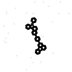 c1ccc(-n2c3ccccc3c3c4ccc(-c5ccc(-c6cc7c8c(cccc8c6)-c6ccccc6-7)cc5)cc4ccc32)cc1